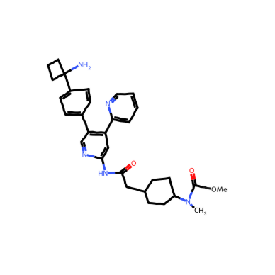 COC(=O)N(C)C1CCC(CC(=O)Nc2cc(-c3ccccn3)c(-c3ccc(C4(N)CCC4)cc3)cn2)CC1